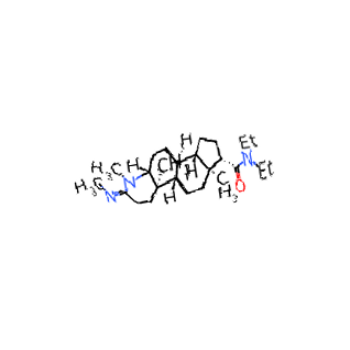 CCN(CC)C(=O)[C@H]1CC[C@H]2[C@@H]3CC[C@H]4N(C)C(=NC)CC[C@]4(C)[C@H]3CC[C@]12C